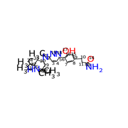 CN(c1ccc(-c2ccc(CCC(N)=O)cc2O)nn1)C1CC(C)(C)NC(C)(C)C1